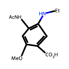 CCNc1cc(C(=O)O)c(OC)cc1NC(C)=O